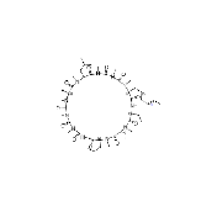 C/C=C/C[C@@H](C)C[C@H]1C(=O)N[C@@H](CC)C(=O)N(C)[C@H](C)C(=O)N(C)[C@@H](CC(C)C)C(=O)NC(=O)N(C)C(=O)NC(=O)N[C@@H](C)C(=O)N(C)C(CC(C)C)C(=O)N(C)C(=O)N(C)C(=O)N1C